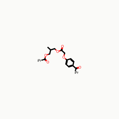 CC(COC(=O)COc1ccc(C(=O)C(C)C)cc1)COC(=O)C(C)C